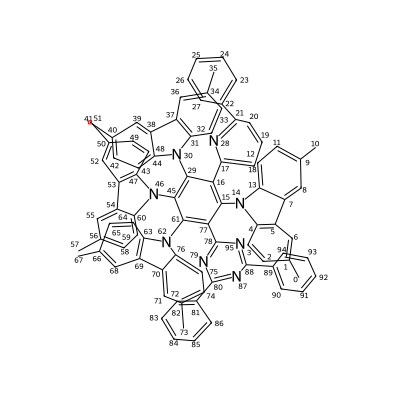 Cc1ccc2c(c1)c1cc(C)ccc1n2-c1c(-c2cccc(-c3ccccc3)n2)c(-n2c3ccc(C)cc3c3cc(C)ccc32)c(-n2c3ccc(C)cc3c3cc(C)ccc32)c(-n2c3ccc(C)cc3c3cc(C)ccc32)c1-c1nc(-c2ccccc2)nc(-c2ccccc2)n1